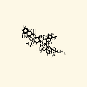 CCCC(NC(=O)[C@@H]1[C@H]2CCC(F)C2CN1C(=O)[C@@H](NC(=O)OC(C)C)C(C)C)C(=O)C(=O)N[C@H](Cc1ccccc1)C(=O)O